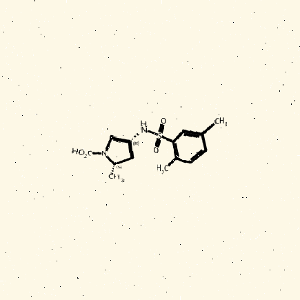 Cc1ccc(C)c(S(=O)(=O)N[C@@H]2C[C@H](C)N(C(=O)O)C2)c1